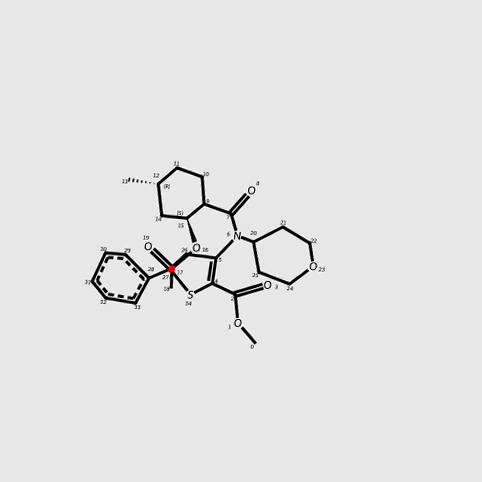 COC(=O)C1=C(N(C(=O)C2CC[C@@H](C)C[C@@H]2OC(C)=O)C2CCOCC2)CC(c2ccccc2)S1